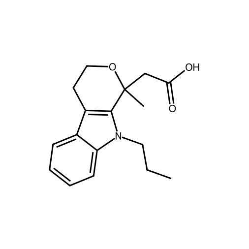 CCCn1c2c(c3ccccc31)CCOC2(C)CC(=O)O